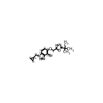 CC(C)(C)c1nnc(COc2ccc3c(nnn3CC3CC3)c2Br)o1